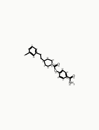 Cc1cccc(CCC2CCN(C(=O)Oc3ccc(C(N)=O)cc3)CC2)c1